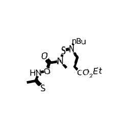 CCCCN(CCC(=O)OCC)SN(C)C(=O)ONC(C)=S